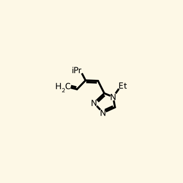 C=C/C(=C\c1nncn1CC)C(C)C